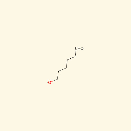 [O]CCCCCC=O